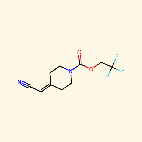 N#CC=C1CCN(C(=O)OCC(F)(F)F)CC1